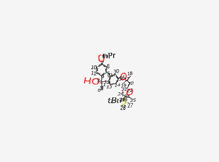 C#CC(O)(c1ccc(OCCC)cc1)c1ccc(OC(C)(C)CCOC(C)(C)S(C)(C)C(C)(C)C)cc1